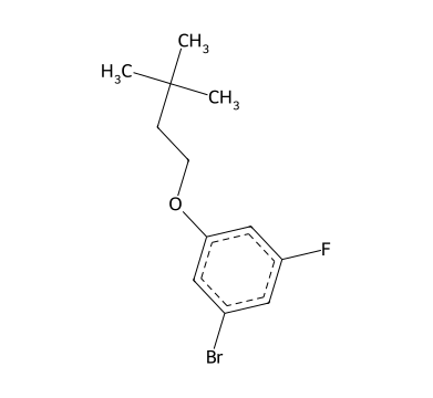 CC(C)(C)CCOc1cc(F)cc(Br)c1